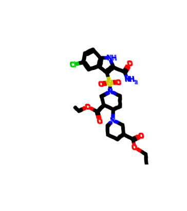 CCOC(=O)C1CCCN(C2CCN(S(=O)(=O)c3c(C(N)=O)[nH]c4ccc(Cl)cc34)CC2C(=O)OCC)C1